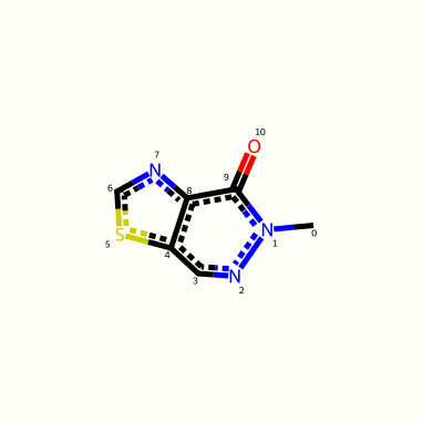 Cn1ncc2s[c]nc2c1=O